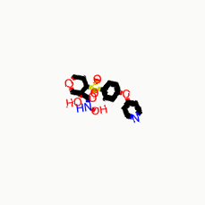 O=C(NO)C1(O)COCCC1S(=O)(=O)c1ccc(Oc2ccncc2)cc1